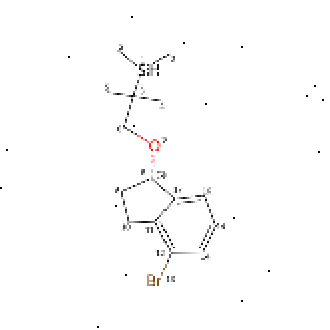 C[SiH](C)C(C)(C)CO[C@H]1CCc2c(Br)cccc21